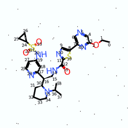 CCOc1cncc(-c2cnc(C(=O)NC[C@H](c3cc(NS(=O)(=O)C4CC4)ccn3)[C@@H]3CCCCN3C(C)C)s2)n1